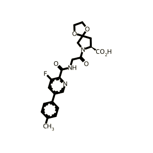 Cc1ccc(-c2cnc(C(=O)NCC(=O)N3CC4(C[C@H]3C(=O)O)OCCO4)c(F)c2)cc1